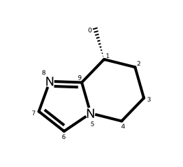 C[C@@H]1CCCn2ccnc21